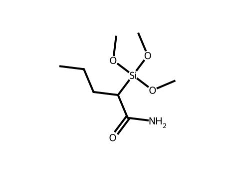 CCCC(C(N)=O)[Si](OC)(OC)OC